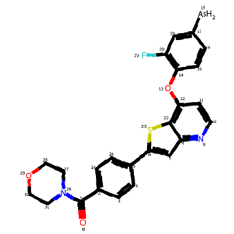 O=C(c1ccc(-c2cc3nccc(Oc4ccc([AsH2])cc4F)c3s2)cc1)N1CCOCC1